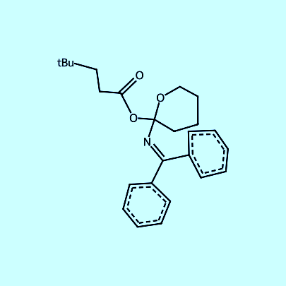 CC(C)(C)CCC(=O)OC1(N=C(c2ccccc2)c2ccccc2)CCCCO1